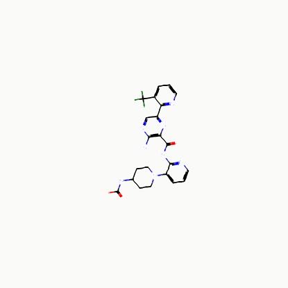 Nc1ncc(-c2ncccc2C(F)(F)F)nc1C(=O)Nc1ncccc1N1CCC(NC(=O)O)CC1